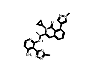 Cc1nnc(-c2c(N)ccnc2N[C@@H](C)c2cc3cccc(-c4cnn(C)c4)c3c(=O)n2C2CC2)o1